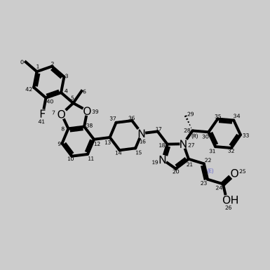 Cc1ccc(C2(C)Oc3cccc(C4CCN(Cc5ncc(/C=C/C(=O)O)n5[C@H](C)c5ccccc5)CC4)c3O2)c(F)c1